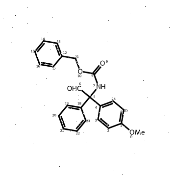 COc1ccc(C(C=O)(NC(=O)OCc2ccccc2)c2ccccc2)cc1